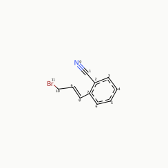 N#Cc1ccccc1C=CCBr